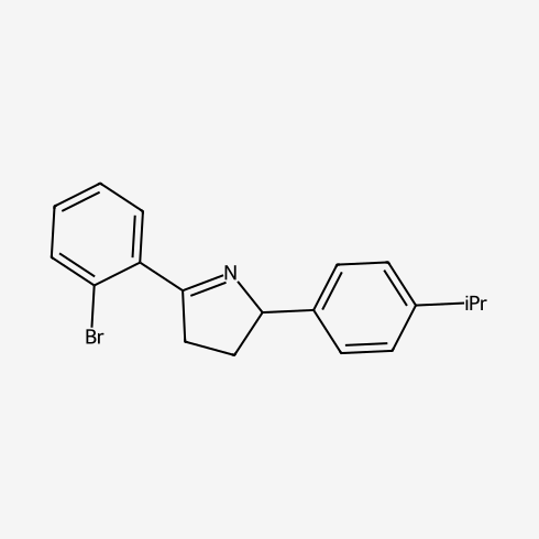 CC(C)c1ccc(C2CCC(c3ccccc3Br)=N2)cc1